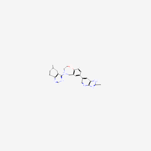 CCC1CCc2ncnc(N3CCOc4ccc(-c5cnc6nc(C)[nH]c6c5)cc4C3)c2C1